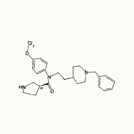 O=C([C@H]1CCNC1)N(CCC1CCN(Cc2ccccc2)CC1)c1ccc(OC(F)(F)F)cc1